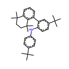 CC(C)(C)c1ccc(Nc2ccc(C(C)(C)C)cc2-c2cccc3c2C(C)(C)CCC3(C)C)cc1